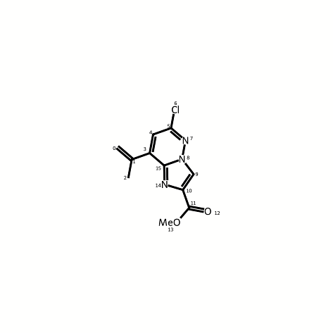 C=C(C)c1cc(Cl)nn2cc(C(=O)OC)nc12